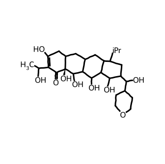 CC(O)C1=C(O)CC2CC3CC4C(C(C)C)CC(C(O)C5CCOCC5)C(O)C4C(O)C3C(O)[C@]2(O)C1=O